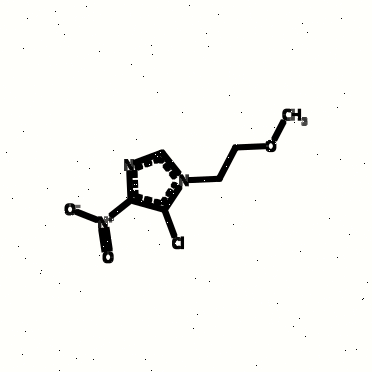 COCCn1cnc([N+](=O)[O-])c1Cl